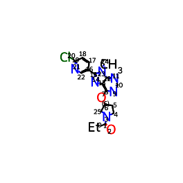 CCC(=O)N1CC[C@H](Oc2ncnc3c2nc(-c2ccc(Cl)nc2)n3C)C1